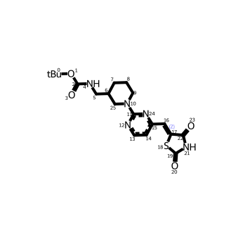 CC(C)(C)OC(=O)NCC1CCCN(c2nccc(/C=C3\SC(=O)NC3=O)n2)C1